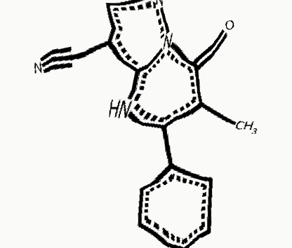 Cc1c(-c2ccccc2)[nH]c2c(C#N)cnn2c1=O